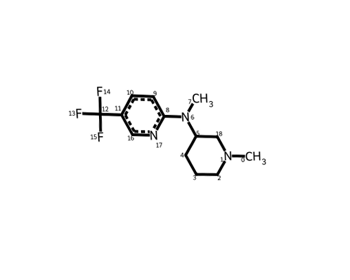 CN1CCCC(N(C)c2ccc(C(F)(F)F)cn2)C1